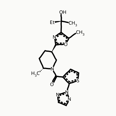 CC[C@](C)(O)c1nc([C@@H]2CC[C@@H](C)N(C(=O)c3ccsc3-n3nccn3)C2)oc1C